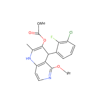 COC(=O)OC1=C(C)Nc2ccnc(OC(C)C)c2C1c1cccc(Cl)c1F